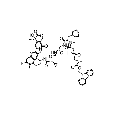 CC[C@@]1(O)C(=O)OCc2c1cc1n(c2=O)Cc2c-1nc1cc(F)c(C)c3c1c2[C@@H](NC(=O)[C@H](OCNC(=O)CNC(=O)[C@H](Cc1ccccc1)NC(=O)CNC(=O)CNC(=O)OCC1c2ccccc2-c2ccccc21)C1CC1)CC3